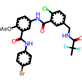 COc1ccc(NC(=O)c2cc(CNC(=O)C(C)(F)F)ccc2Cl)cc1C(=O)Nc1ccc(Br)cc1